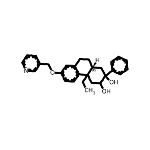 CCC12CC(O)C(O)(c3ccccc3)C[C@H]1CCc1cc(OCc3cccnc3)ccc12